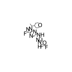 CC(C1CCOCC1)n1nc(F)c2ncc(Nc3cc(OC(F)F)[nH]n3)nc21